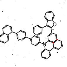 c1ccc(-c2ccccc2N(c2ccc(-c3ccc(-c4cccc5ccccc45)cc3)cc2)c2cccc(-c3oc4ccccc4c3-c3ccccc3)c2)cc1